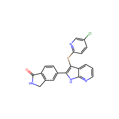 O=C1NCc2cc(-c3[nH]c4ncccc4c3Sc3ccc(Cl)cn3)ccc21